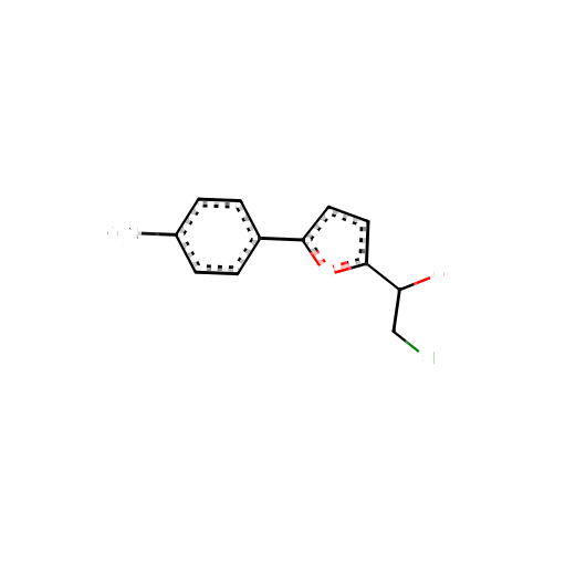 O=[N+]([O-])c1ccc(-c2ccc(C(O)CCl)o2)cc1